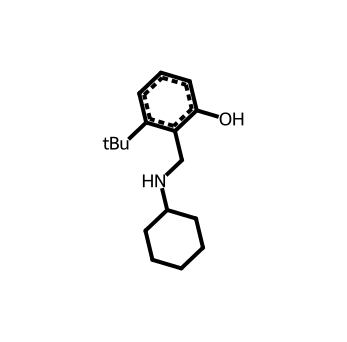 CC(C)(C)c1cccc(O)c1CNC1CCCCC1